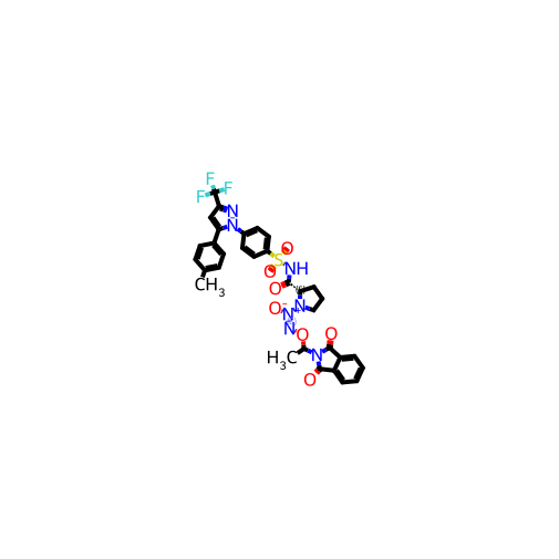 Cc1ccc(-c2cc(C(F)(F)F)nn2-c2ccc(S(=O)(=O)NC(=O)[C@@H]3CCCN3/[N+]([O-])=N\OC(C)N3C(=O)c4ccccc4C3=O)cc2)cc1